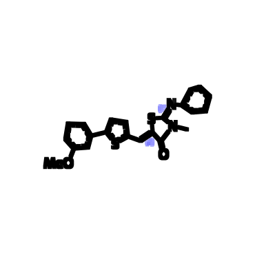 COc1cccc(-c2ccc(/C=C3\S/C(=N/c4ccccc4)N(C)C3=O)s2)c1